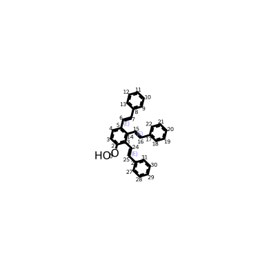 OOc1ccc(/C=C/c2ccccc2)c(/C=C/c2ccccc2)c1/C=C/c1ccccc1